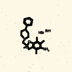 Br.Br.Cc1c(C)c2c(c(C)c1N)C[C@](C)(CN1CCC(c3ccccc3)CC1)O2